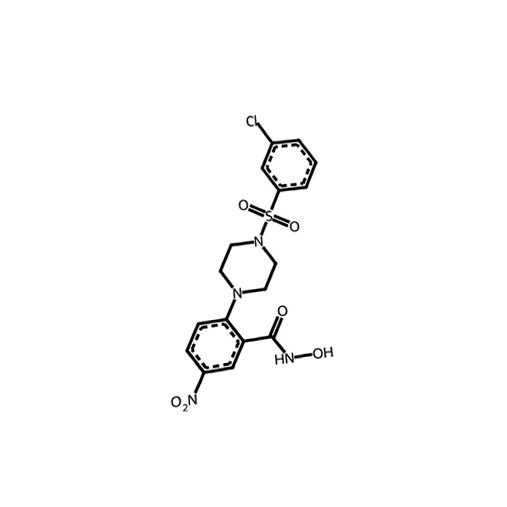 O=C(NO)c1cc([N+](=O)[O-])ccc1N1CCN(S(=O)(=O)c2cccc(Cl)c2)CC1